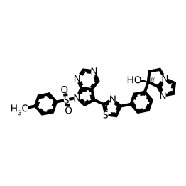 Cc1ccc(S(=O)(=O)n2cc(-c3nc(-c4cccc([C@]5(O)CCn6ccnc65)c4)cs3)c3cncnc32)cc1